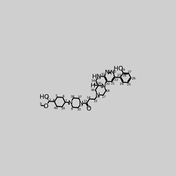 CO[C@H](O)C1CCC(N2CCN(C(=O)CCN3CCN4c5cc(-c6ccccc6O)nnc5NC[C@H]4C3)CC2)CC1